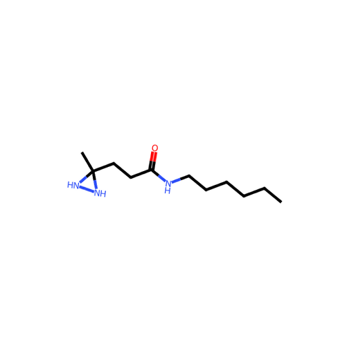 CCCCCCNC(=O)CCC1(C)NN1